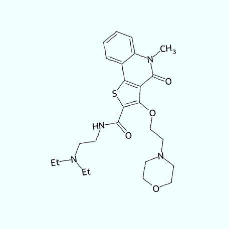 CCN(CC)CCNC(=O)c1sc2c(c1OCCN1CCOCC1)c(=O)n(C)c1ccccc21